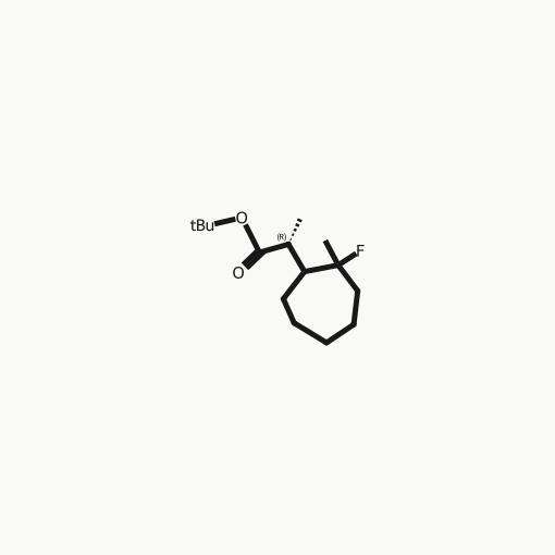 C[C@@H](C(=O)OC(C)(C)C)C1CCCCCC1(C)F